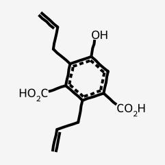 C=CCc1c(O)cc(C(=O)O)c(CC=C)c1C(=O)O